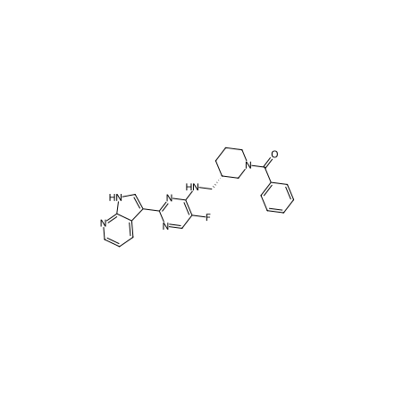 O=C(c1ccccc1)N1CCC[C@@H](CNc2nc(-c3c[nH]c4ncccc34)ncc2F)C1